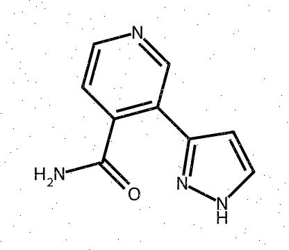 NC(=O)c1ccncc1-c1cc[nH]n1